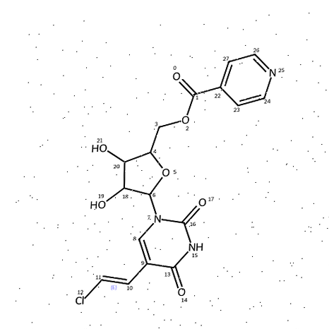 O=C(OCC1OC(n2cc(/C=C/Cl)c(=O)[nH]c2=O)C(O)C1O)c1ccncc1